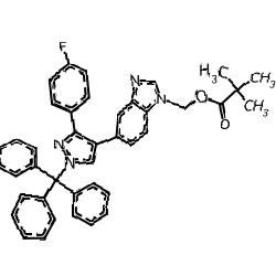 CC(C)(C)C(=O)OCn1cnc2cc(-c3cn(C(c4ccccc4)(c4ccccc4)c4ccccc4)nc3-c3ccc(F)cc3)ccc21